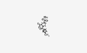 Cc1ccn(C(=O)N2CCN(C(=O)OC(C)(C)C)CC2C(F)F)n1